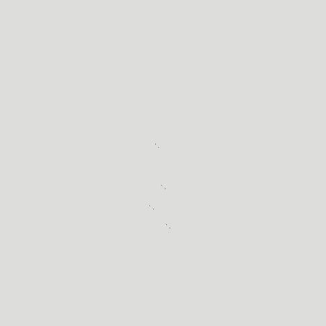 CC(N1CCOCC1)n1ccnn1